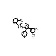 O=C(Cc1ccccc1F)Nc1onc(-c2cc(Cl)cc(Cl)c2)c1-c1ccncn1